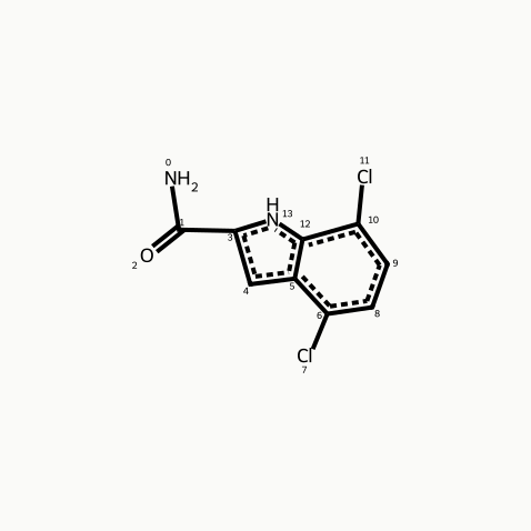 NC(=O)c1cc2c(Cl)ccc(Cl)c2[nH]1